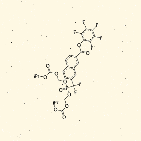 CC(C)OC(=O)OCOP(=O)(OCOC(=O)OC(C)C)C(F)(F)c1ccc2ccc(C(=O)Oc3c(F)c(F)c(F)c(F)c3F)cc2c1